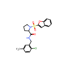 O=C(NCc1cc(C(F)(F)F)ccc1Cl)C1CCCN1S(=O)(=O)c1cc2ccccc2o1